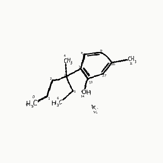 CCCC(C)(CC)c1ccc(C)cc1O.[K]